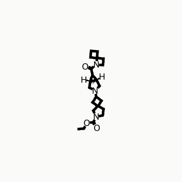 CCOC(=O)N1CCC2(CC(N3C[C@@H]4C(C(=O)N5CCC56CCC6)[C@@H]4C3)C2)C1